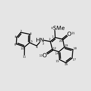 CSC1=C(NCc2ccccc2C)C(=O)c2ccccc2C1=O